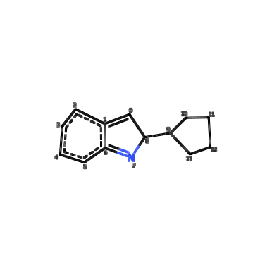 C1=c2ccccc2=NC1C1CCCC1